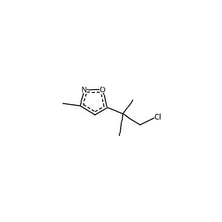 Cc1cc(C(C)(C)CCl)on1